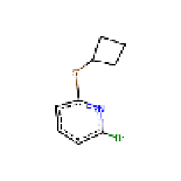 Brc1cccc(SC2CCC2)n1